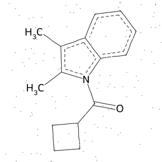 Cc1c(C)n(C(=O)C2CCC2)c2ccccc12